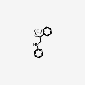 O=C(O)OC(CNc1ccccn1)c1ccccc1